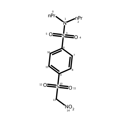 CCCN(CCC)S(=O)(=O)c1ccc(S(=O)(=O)C[N+](=O)[O-])cc1